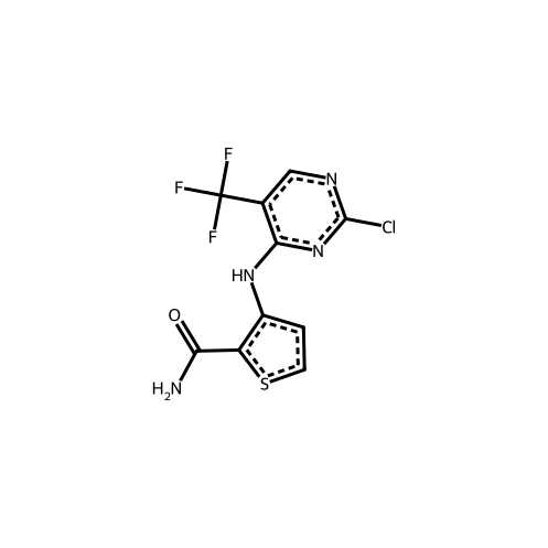 NC(=O)c1sccc1Nc1nc(Cl)ncc1C(F)(F)F